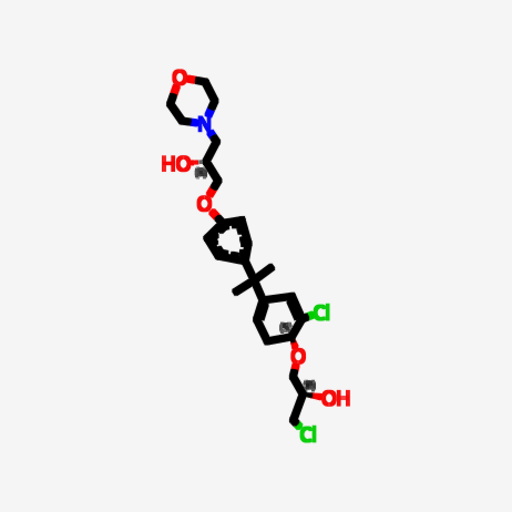 CC(C)(C1=CC[C@H](OC[C@@H](O)CCl)C(Cl)=C1)c1ccc(OC[C@H](O)CN2CCOCC2)cc1